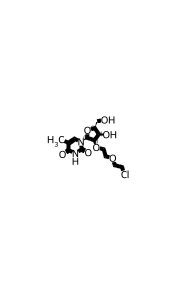 Cc1cn([C@@H]2O[C@H](CO)[C@@H](O)[C@H]2OCCOCCCl)c(=O)[nH]c1=O